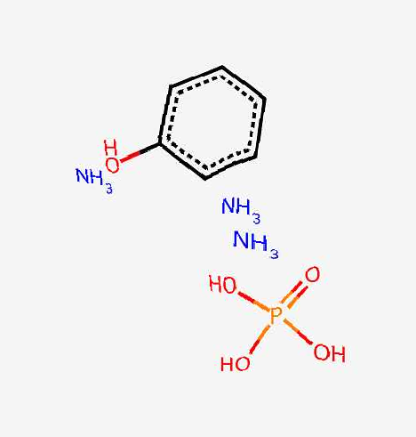 N.N.N.O=P(O)(O)O.Oc1ccccc1